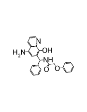 Nc1cc(C(NC(=O)COc2ccccc2)c2ccccc2)c(O)c2ncccc12